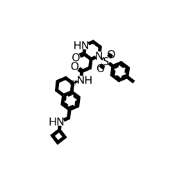 Cc1ccc(S(=O)(=O)N2CCNC(=O)C2CC(=O)N[C@@H]2CCCc3cc(CNC4CCC4)ccc32)cc1